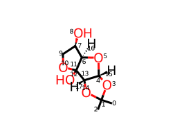 CC1(C)O[C@H]2O[C@@H]3[C@H](O)COC3(O)[C@H]2O1